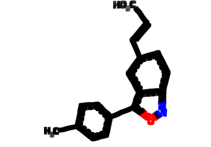 Cc1ccc(-c2onc3ccc(/C=C/C(=O)O)cc23)cc1